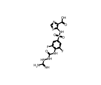 N=C(N)NNC(=O)Nc1c(F)cc(S(=O)(=O)Nc2scnc2C(=O)O)cc1F